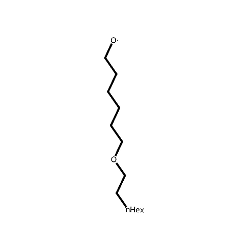 CCCCCCCCOCCCCCC[O]